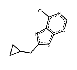 Clc1ncnc2sc(CC3CC3)nc12